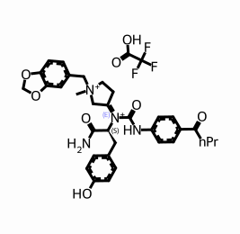 CCCC(=O)c1ccc(NC(=O)/[N+](=C2\CC[N+](C)(Cc3ccc4c(c3)OCO4)C2)[C@@H](Cc2ccc(O)cc2)C(N)=O)cc1.O=C(O)C(F)(F)F